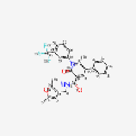 Cc1cc(CNC(=O)c2cc(-c3ccccc3)c(C)n(-c3cccc(C(F)(F)F)c3)c2=O)c(C)o1